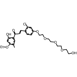 CCOc1cc(O)c(C(=O)/C=C/c2ccc(OCCOCCOCCOCCO)cc2Cl)cc1C